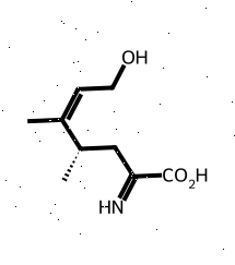 C/C(=C/CO)[C@@H](C)CC(=N)C(=O)O